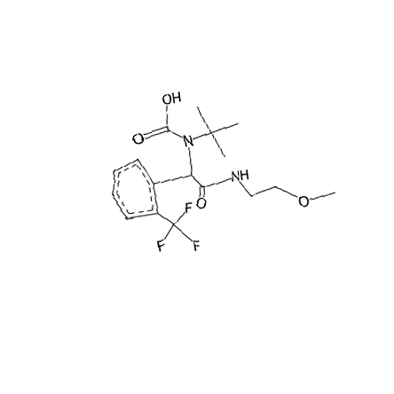 COCCNC(=O)C(c1ccccc1C(F)(F)F)N(C(=O)O)C(C)(C)C